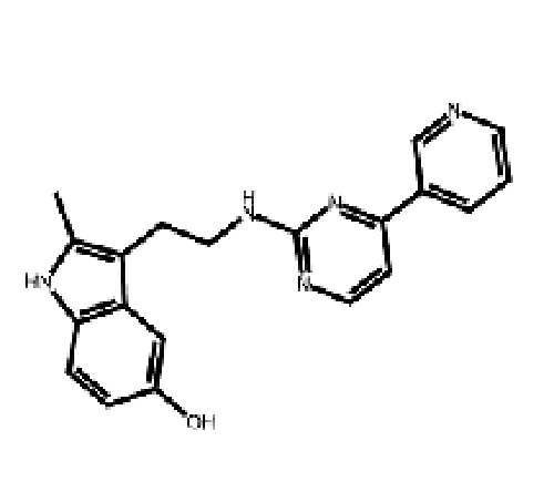 Cc1[nH]c2ccc(O)cc2c1CCNc1nccc(-c2cccnc2)n1